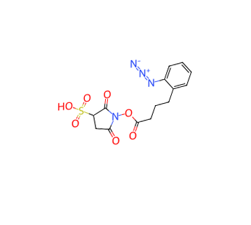 [N-]=[N+]=Nc1ccccc1CCCC(=O)ON1C(=O)CC(S(=O)(=O)O)C1=O